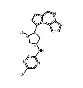 CC[C@@H]1C[C@H](Nc2cnc(N)cn2)CN1c1ncc2cnc3[nH]ccc3n12